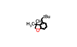 CC(C)(C)Cc1cccc2c1C(C)(C)CO2